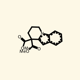 COC(=O)C1(C(=O)OC)CCCn2c1cc1ccccc12